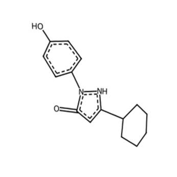 O=c1cc(C2CCCCC2)[nH]n1-c1ccc(O)cc1